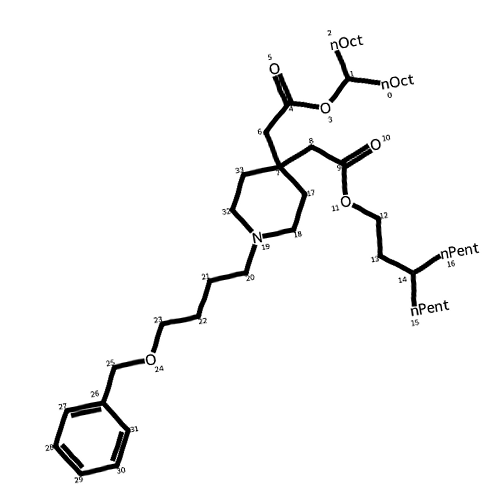 CCCCCCCCC(CCCCCCCC)OC(=O)CC1(CC(=O)OCCC(CCCCC)CCCCC)CCN(CCCCOCc2ccccc2)CC1